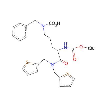 CC(C)(C)OC(=O)N[C@@H](CCCN(Cc1ccccc1)C(=O)O)C(=O)N(Cc1cccs1)Cc1cccs1